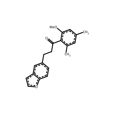 COc1cc(C)cc(C)c1C(=O)CCc1ccc2occc2c1